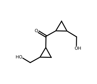 O=C(C1CC1CO)C1CC1CO